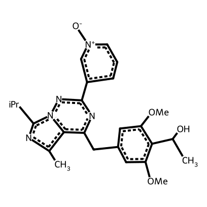 COc1cc(Cc2nc(-c3ccc[n+]([O-])c3)nn3c(C(C)C)nc(C)c23)cc(OC)c1C(C)O